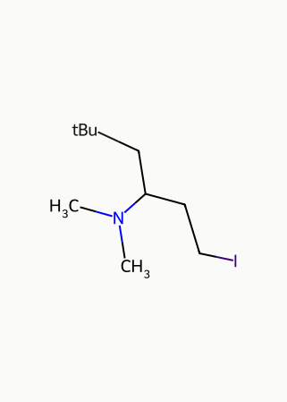 CN(C)C(CCI)CC(C)(C)C